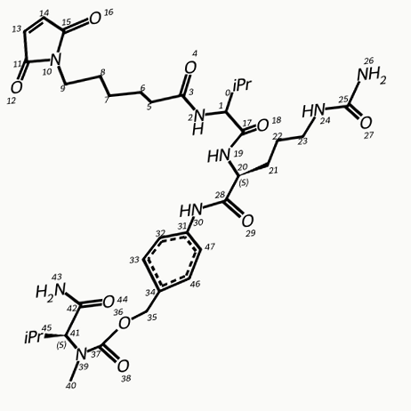 CC(C)C(NC(=O)CCCCCN1C(=O)C=CC1=O)C(=O)N[C@@H](CCCNC(N)=O)C(=O)Nc1ccc(COC(=O)N(C)[C@H](C(N)=O)C(C)C)cc1